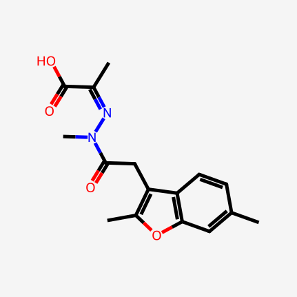 CC(=NN(C)C(=O)Cc1c(C)oc2cc(C)ccc12)C(=O)O